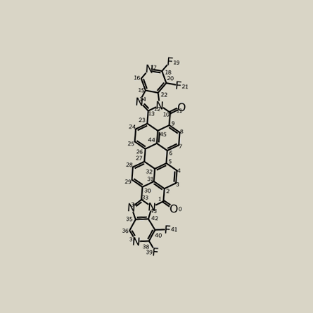 O=c1c2ccc3c4ccc5c(=O)n6c(nc7cnc(F)c(F)c76)c6ccc(c7ccc(c2c37)c2nc3cnc(F)c(F)c3n12)c4c56